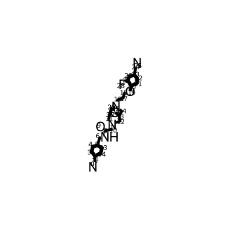 N#Cc1ccc(CNC(=O)CN2CC3CN(CCCOc4ccc(C#N)cc4F)CC(C2)O3)cc1